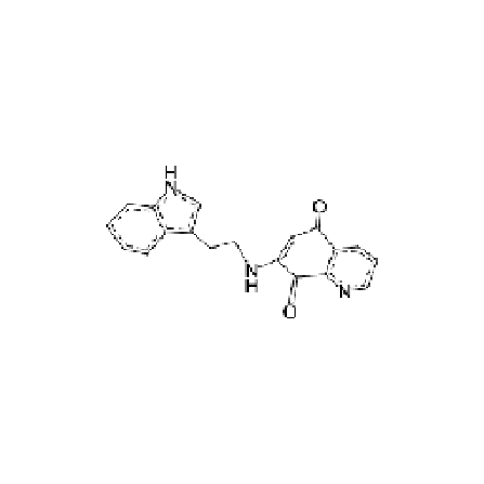 O=C1C=C(NCCc2c[nH]c3ccccc23)C(=O)c2ncccc21